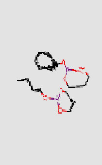 CCCCOP1OCCCO1.c1ccc(OP2OCCCO2)cc1